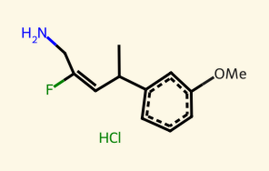 COc1cccc(C(C)/C=C(/F)CN)c1.Cl